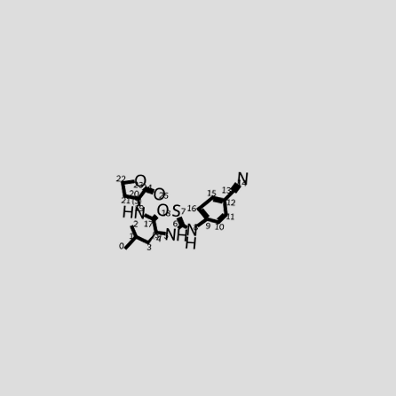 CC(C)C[C@H](NC(=S)Nc1ccc(C#N)cc1)C(=O)N[C@H]1CCOC1=O